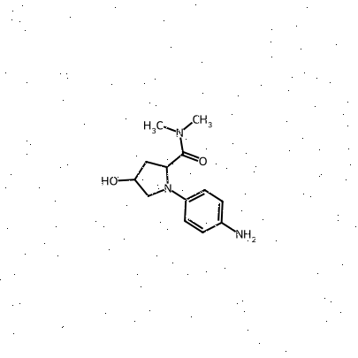 CN(C)C(=O)C1CC(O)CN1c1ccc(N)cc1